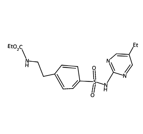 CCOC(=O)NCCc1ccc(S(=O)(=O)Nc2ncc(CC)cn2)cc1